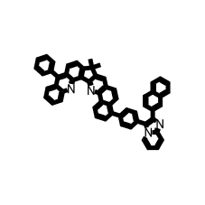 CC1(C)c2cc3ccc4c(-c5ccc(-c6c(-c7ccc8ccccc8c7)nc7ccccn67)cc5)cccc4c3nc2-c2c1ccc1c(-c3ccccc3)c3ccccc3nc21